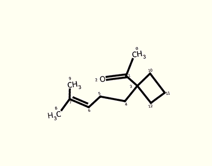 CC(=O)C1(CCC=C(C)C)CCC1